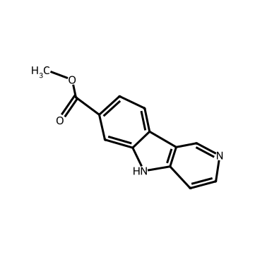 COC(=O)c1ccc2c(c1)[nH]c1ccncc12